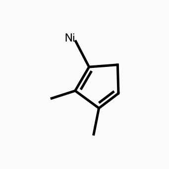 CC1=CC[C]([Ni])=C1C